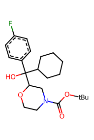 CC(C)(C)OC(=O)N1CCOC(C(O)(c2ccc(F)cc2)C2CCCCC2)C1